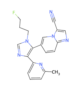 Cc1cccc(-c2ncn(CCCF)c2-c2ccc3ncc(C#N)n3c2)n1